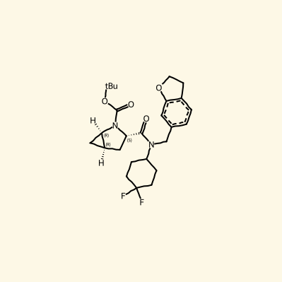 CC(C)(C)OC(=O)N1[C@@H]2C[C@@H]2C[C@H]1C(=O)N(Cc1ccc2c(c1)OCC2)C1CCC(F)(F)CC1